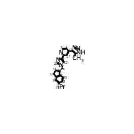 Cc1[nH]nnc1-c1ccnc(-c2cn(C[C@H]3CCc4cc(C(C)C)ccc43)cn2)c1